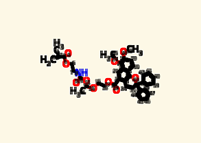 C=C(C)C(=O)OCCNC(=O)OC(C)OCCOC(=O)c1cc2c(OC)c(OC)ccc2c2c1C=CC(c1ccccc1)(c1ccccc1)O2